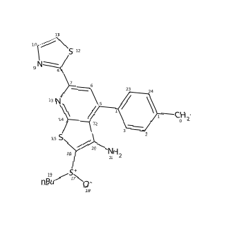 [CH2]c1ccc(-c2cc(-c3nccs3)nc3sc([S+]([O-])CCCC)c(N)c23)cc1